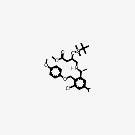 COC(=O)CC(CN[C@@H](C)c1cc(F)cc(Cl)c1COc1ccc(OC)cc1)O[Si](C)(C)C(C)(C)C